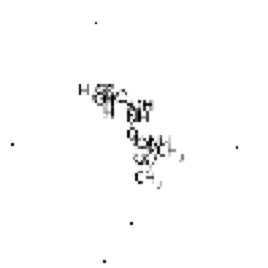 CCOC(=O)Oc1c(C)[nH]c2cc(OCCNC[C@H](O)c3cccc(NS(C)(=O)=O)c3)ccc12